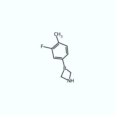 Cc1ccc(B2CNC2)cc1F